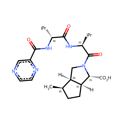 CC(C)[C@H](NC(=O)[C@H](NC(=O)c1cnccn1)C(C)C)C(=O)N1C[C@H]2[C@H](CC[C@H]2C)[C@H]1C(=O)O